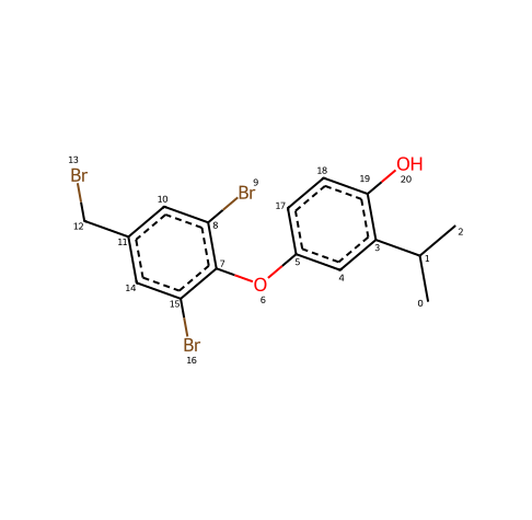 CC(C)c1cc(Oc2c(Br)cc(CBr)cc2Br)ccc1O